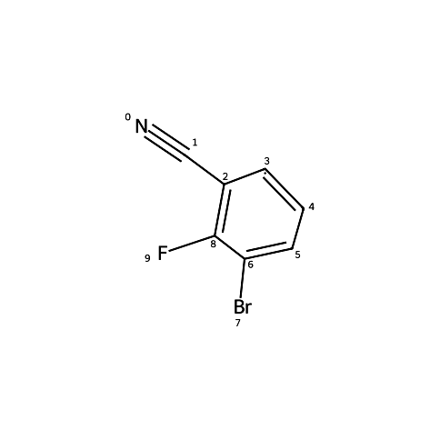 N#Cc1[c]ccc(Br)c1F